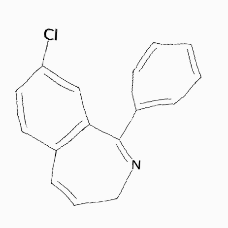 Clc1ccc2c(c1)C(c1ccccc1)=NCC=C2